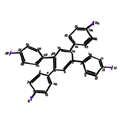 Ic1ccc(-c2cc(-c3ccc(I)cc3)c(-c3ccc(I)cc3)cc2-c2ccc(I)cc2)cc1